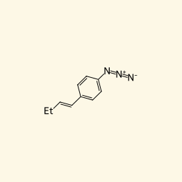 CCC=Cc1ccc(N=[N+]=[N-])cc1